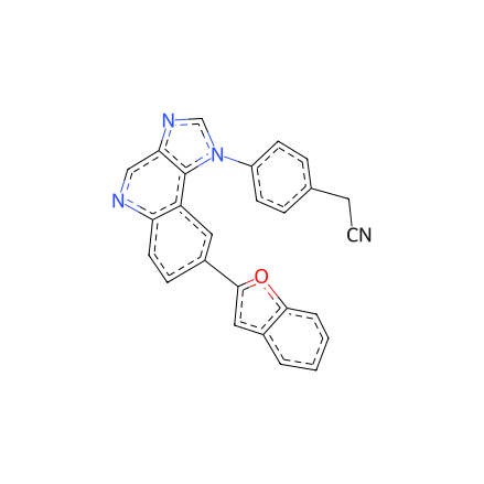 N#CCc1ccc(-n2cnc3cnc4ccc(-c5cc6ccccc6o5)cc4c32)cc1